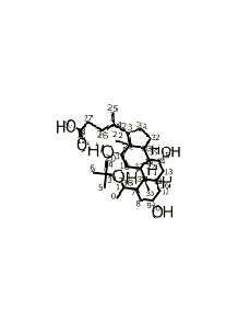 CC(OC(C)(C)C)C1C[C@@H](O)C[C@H]2C[C@@H](O)[C@@H]3[C@H](C[C@H](O)[C@]4(C)[C@@H]([C@H](C)CCC(=O)O)CC[C@@H]34)[C@@]12C